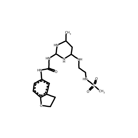 CC1CC(NCCNS(C)(=O)=O)NC(NC(=O)Nc2ccc3c(c2)CCO3)N1